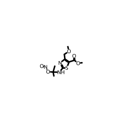 COCc1nc(NC(C)(C)ON=O)sc1C(=O)OC